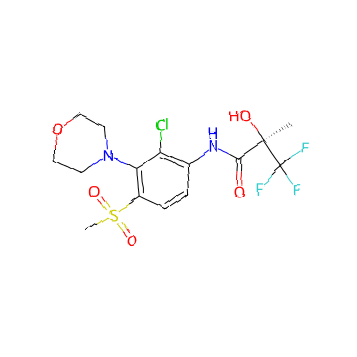 C[C@@](O)(C(=O)Nc1ccc(S(C)(=O)=O)c(N2CCOCC2)c1Cl)C(F)(F)F